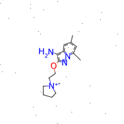 Cc1cc(C)n2nc(OCC[N+]3(C)CCCC3)c(N)c2c1